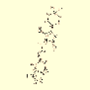 O=C1SC(=C2CCC(F)(F)CC2)C(=O)N1C/C=C/c1cnc2nc[nH]c2c1